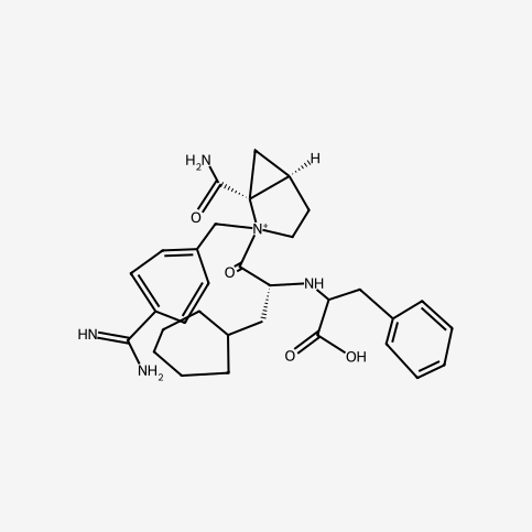 N=C(N)c1ccc(C[N+]2(C(=O)[C@@H](CC3CCCCC3)NC(Cc3ccccc3)C(=O)O)CC[C@@H]3C[C@@]32C(N)=O)cc1